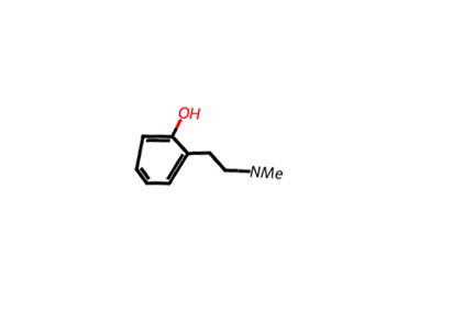 CNCCc1ccccc1O